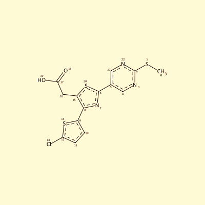 CSc1ncc(-c2nc(-c3ccc(Cl)s3)c(CC(=O)O)s2)cn1